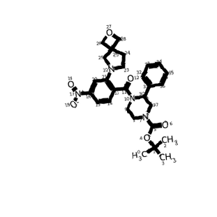 CC(C)(C)OC(=O)N1CCN(C(=O)c2ccc([N+](=O)[O-])cc2N2CCC3(COC3)C2)C(c2ccccc2)C1